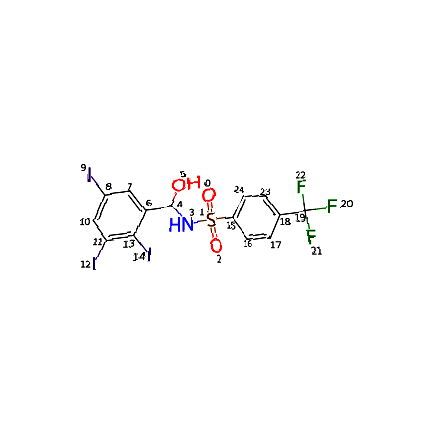 O=S(=O)(NC(O)c1cc(I)cc(I)c1I)c1ccc(C(F)(F)F)cc1